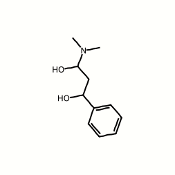 CN(C)C(O)CC(O)c1ccccc1